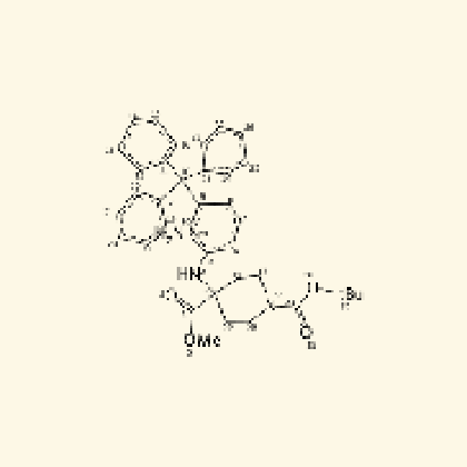 COC(=O)C1(Nc2cccc(C(c3ccccc3)(c3ccccc3)c3ccccc3)c2N)CCN(C(=O)OC(C)(C)C)CC1